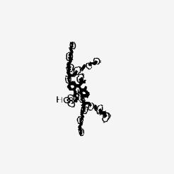 COCCOCCOCC(COCCOCCOC)OC1=CC(=C(\C(C)=O)c2cc(OC(COCCOCCOC)COCCOCCOC)ccc2C)/C(=N/CCCS(=O)(=O)O)C=C1